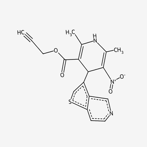 C#CCOC(=O)C1=C(C)NC(C)=C([N+](=O)[O-])C1c1csc2ccncc12